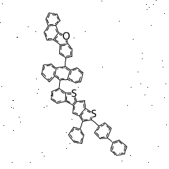 c1ccc(-c2ccc(-c3sc4cc5sc6c(-c7c8ccccc8c(-c8ccc9oc%10c%11ccccc%11ccc%10c9c8)c8ccccc78)cccc6c5cc4c3-c3ccccc3)cc2)cc1